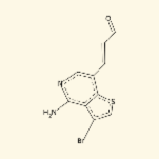 Nc1ncc(/C=C/C=O)c2scc(Br)c12